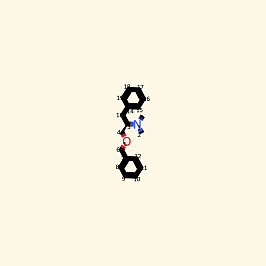 CN(C)[C@@H](COCc1ccccc1)Cc1ccccc1